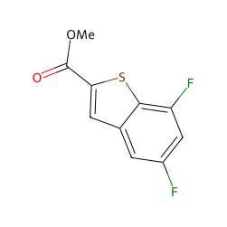 COC(=O)c1cc2cc(F)cc(F)c2s1